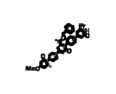 COC1=CC(=O)N(C2CCN(C3=CC(=O)N(C4CCN(C5=CC(=O)N[C@@H](C(C)C)C5)CC4)[C@H]([C@H](C)OCc4ccccc4)C3)CC2)[C@H](C)C1